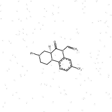 C=CN1C(=O)[C@@H]2CN(C(C)C)CCN2c2ncc(C(F)(F)F)cc21